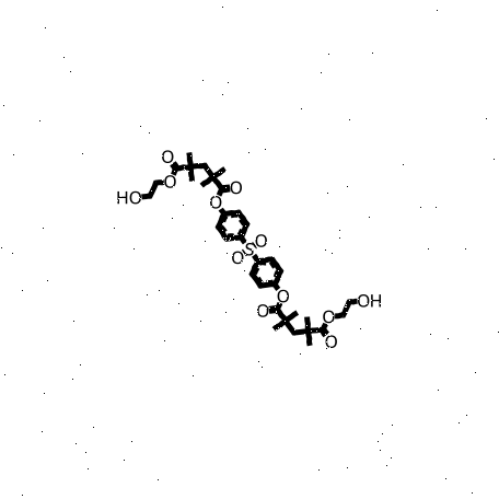 CC(C)(CC(C)(C)C(=O)Oc1ccc(S(=O)(=O)c2ccc(OC(=O)C(C)(C)CC(C)(C)C(=O)OCCO)cc2)cc1)C(=O)OCCO